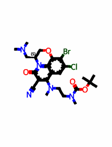 CN(C)C[C@H]1COc2c(Br)c(Cl)cc3c(N(C)CCN(C)C(=O)OC(C)(C)C)c(C#N)c(=O)n1c23